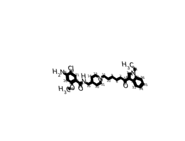 CCn1cc(C(=O)CCCCCN2CCC(CNC(=O)c3cc(Cl)c(N)cc3OC)CC2)c2ccccc21